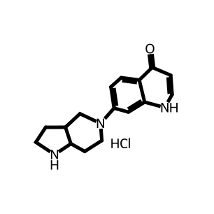 Cl.O=c1cc[nH]c2cc(N3CCC4NCCC4C3)ccc12